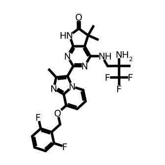 Cc1nc2c(OCc3c(F)cccc3F)cccn2c1-c1nc(NCC(C)(N)C(F)(F)F)c2c(n1)NC(=O)C2(C)C